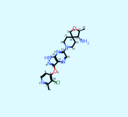 Cc1nccc(Oc2n[nH]c3nc(N4CCC5(CC4)CO[C@@H](C)[C@H]5N)cnc23)c1Cl